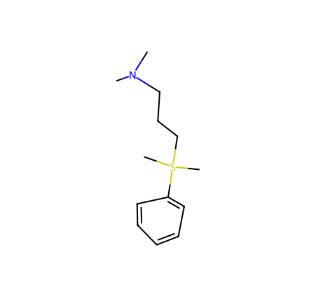 CN(C)CCCS(C)(C)c1ccccc1